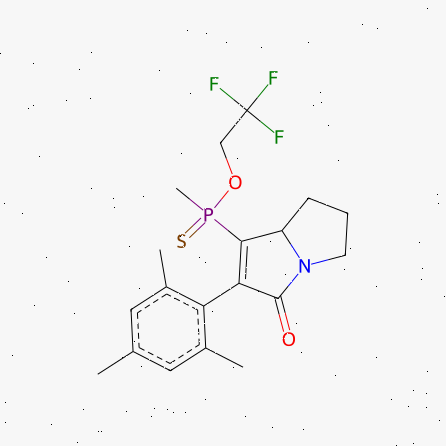 Cc1cc(C)c(C2=C(P(C)(=S)OCC(F)(F)F)C3CCCN3C2=O)c(C)c1